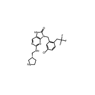 O=c1[nH]c2cnc(NC[C@H]3CCNC3)nc2n1Cc1cc(Cl)ccc1CC(F)(F)F